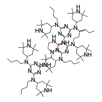 CCCCN(c1nc(NCCN(CCNc2nc(N(CCCC)C3CC(C)(C)NC(C)(C)C3)nc(N(CCCC)C3CC(C)(C)NC(C)(C)C3)n2)CCNc2nc(N(CCCC)C3CC(C)(C)NC(C)(C)C3)nc(N(CCCC)C3CC(C)(C)NC(C)(C)C3)n2)nc(N(CCCC)C2CC(C)(C)NC(C)(C)C2)n1)C1CC(C)(C)NC(C)(C)C1